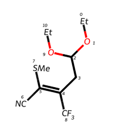 CCOC(CC(=C(C#N)SC)C(F)(F)F)OCC